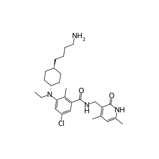 CCN(c1cc(Cl)cc(C(=O)NCc2c(C)cc(C)[nH]c2=O)c1C)[C@H]1CC[C@H](CCCCN)CC1